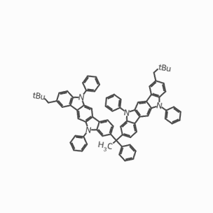 CC(C)(C)Cc1ccc2c(c1)c1cc3c(cc1n2-c1ccccc1)c1ccc(C(C)(c2ccccc2)c2ccc4c5cc6c(cc5n(-c5ccccc5)c4c2)c2cc(CC(C)(C)C)ccc2n6-c2ccccc2)cc1n3-c1ccccc1